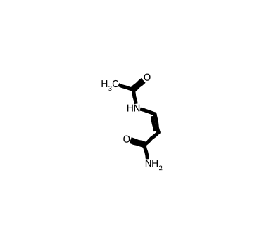 CC(=O)N/C=C\C(N)=O